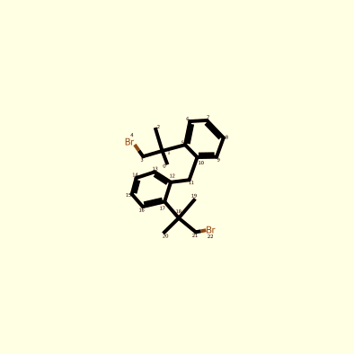 CC(C)(CBr)c1ccccc1Cc1ccccc1C(C)(C)CBr